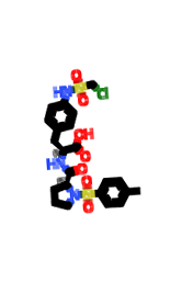 Cc1ccc(S(=O)(=O)N2CCC[C@H]2C(=O)N[C@@H](Cc2ccc(NS(=O)(=O)CCl)cc2)C(=O)O)cc1